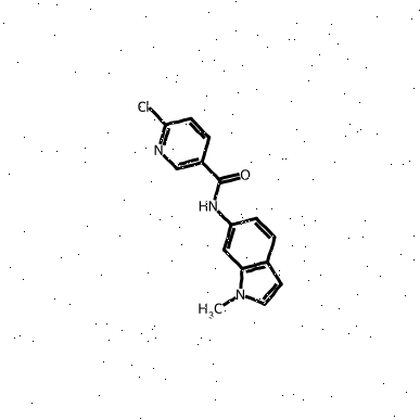 Cn1ccc2ccc(NC(=O)c3ccc(Cl)nc3)cc21